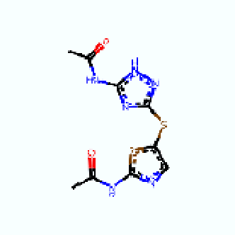 CC(=O)Nc1nc(Sc2cnc(NC(C)=O)s2)n[nH]1